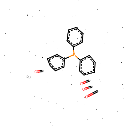 [C]=O.[C]=O.[C]=O.[C]=O.[Ru].c1ccc(P(c2ccccc2)c2ccccc2)cc1